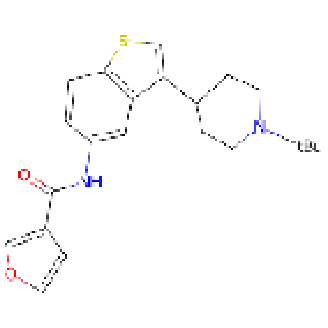 CC(C)(C)N1CCC(c2csc3ccc(NC(=O)c4ccoc4)cc23)CC1